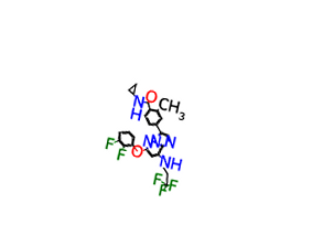 Cc1cc(-c2cnc3c(NCCC(F)(F)F)cc(Oc4cccc(F)c4F)nn23)ccc1C(=O)NC1CC1